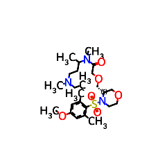 CCN(C)CCC(C)N(C)C(=O)COC[C@@H]1COCCN1S(=O)(=O)c1c(C)cc(OC)cc1C